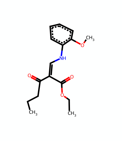 CCCC(=O)C(=CNc1ccccc1OC)C(=O)OCC